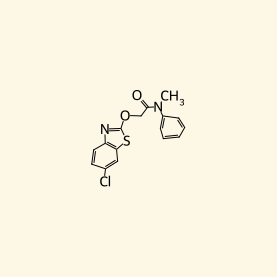 CN(C(=O)COc1nc2ccc(Cl)cc2s1)c1ccccc1